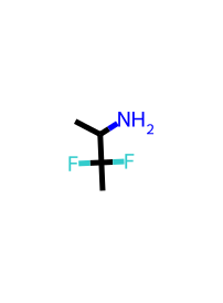 CC(N)C(C)(F)F